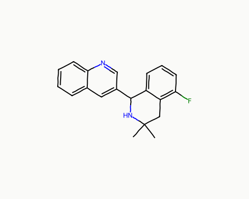 CC1(C)Cc2c(F)cccc2C(c2cnc3ccccc3c2)N1